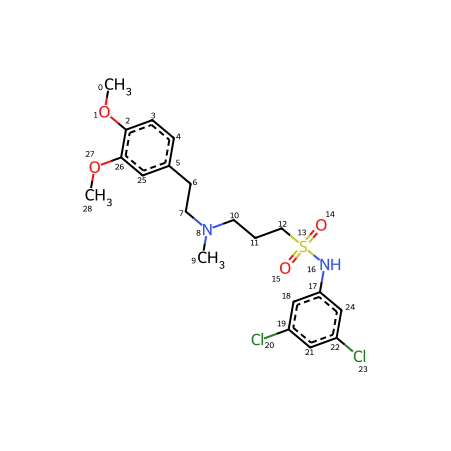 COc1ccc(CCN(C)CCCS(=O)(=O)Nc2cc(Cl)cc(Cl)c2)cc1OC